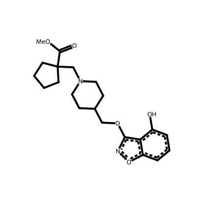 COC(=O)C1(CN2CCC(COc3noc4cccc(O)c34)CC2)CCCC1